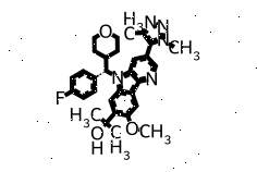 COc1cc2c3ncc(-c4c(C)nnn4C)cc3n([C@H](c3ccc(F)cc3)C3CCOCC3)c2cc1C(C)(C)O